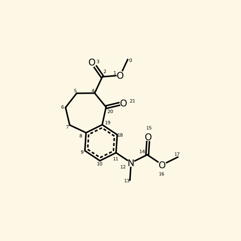 COC(=O)C1CCCc2ccc(N(C)C(=O)OC)cc2C1=O